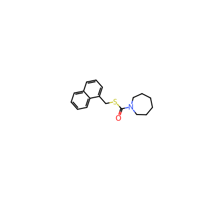 O=C(SCc1cccc2ccccc12)N1CCCCCC1